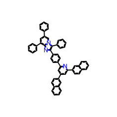 c1ccc(-c2cc(-c3ccccc3)c3nc(-c4ccc(-c5cc(-c6ccc7ccccc7c6)cc(-c6ccc7ccccc7c6)n5)cc4)c(-c4ccccc4)n3c2)cc1